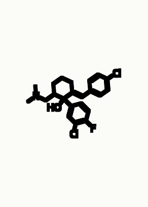 CN(C)CC1CCCC(=Cc2ccc(Cl)cc2)C1(O)c1ccc(F)c(Cl)c1